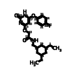 CCC1CC(CC)CC(CNC(=O)COc2cc(Oc3ccc(F)cc3)[nH]c(=O)n2)C1